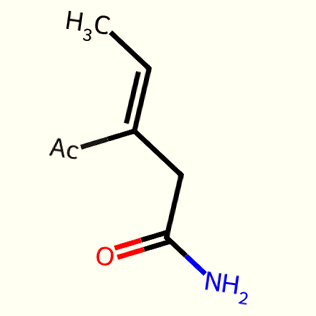 C/C=C(/CC(N)=O)C(C)=O